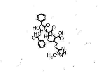 Cn1nnnc1SCC1=C(C(=O)O)N2C(=O)[C@@H](NC(=O)C(O)c3ccccc3)[C@H]2SC1.O=C(O)c1ccccc1